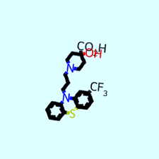 O=C(O)C1(O)CCN(CCCN2c3ccccc3Sc3ccc(C(F)(F)F)cc32)CC1